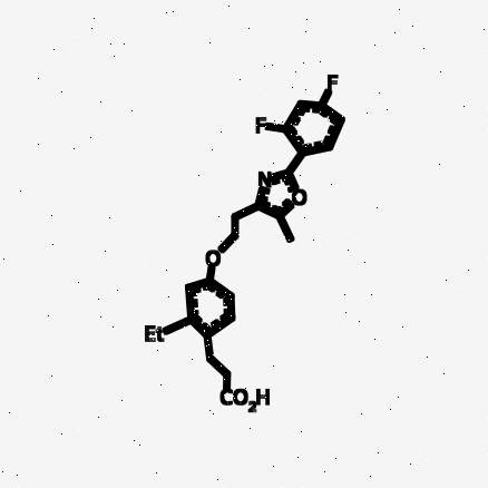 CCc1cc(OCCc2nc(-c3ccc(F)cc3F)oc2C)ccc1CCC(=O)O